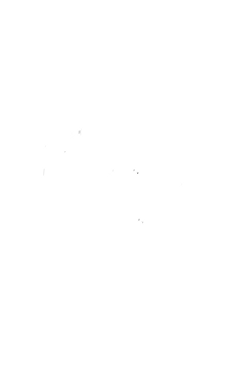 CN1c2ccc(C(O)(O)C(F)(F)F)cc2CCC(N)C1C=O